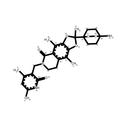 Cc1cc(C)c(CN2CCc3c(C)c4c(c(C)c3C2=O)OC(C)(C23CCC(N)(CC2)CC3)O4)c(=O)[nH]1